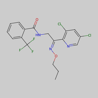 CCCON=C(CNC(=O)c1ccccc1C(F)(F)F)c1ncc(Cl)cc1Cl